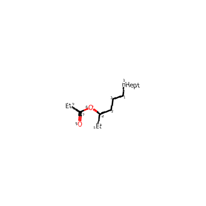 CCCCCCCCCCC(CC)OC(=O)CC